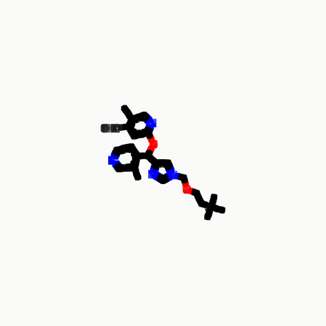 Cc1cnc(OC(c2cn(COCC[Si](C)(C)C)cn2)c2ccncc2C)cc1C=O